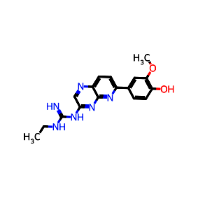 CCNC(=N)Nc1cnc2ccc(-c3ccc(O)c(OC)c3)nc2n1